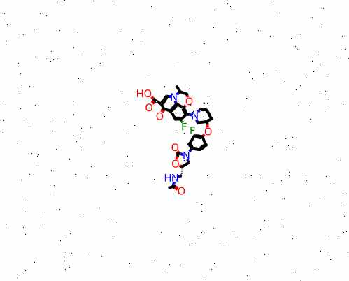 CC(=O)NC[C@H]1CN(c2ccc(OC3CCCN(c4c(F)cc5c(=O)c(C(=O)O)cn6c5c4OCC6C)C3)c(F)c2)C(=O)O1